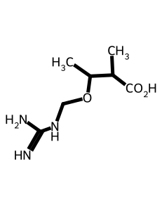 CC(OCNC(=N)N)C(C)C(=O)O